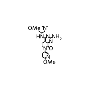 COCC(CN(C)C)Nc1nc(N)nc2c1CCN(c1ccc(OC)nc1)C2=O